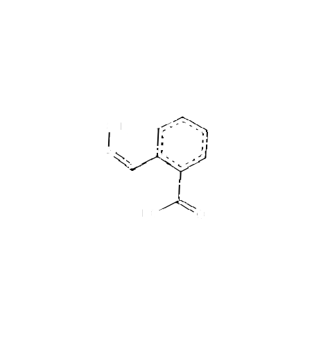 C/P=C\c1ccccc1C(C)=O